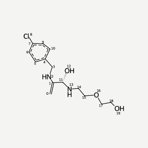 C=C(NCc1ccc(Cl)cc1)[C@H](O)NCCOCCO